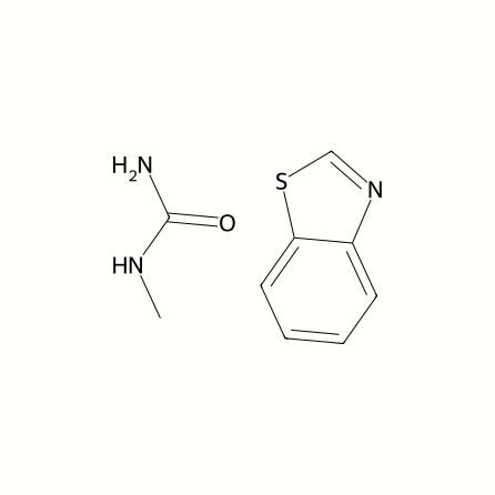 CNC(N)=O.c1ccc2scnc2c1